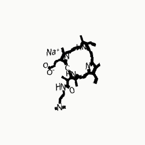 C=CC1=C(C)c2cc3[nH]c(cc4nc(cc5[nH]c(cc1n2)c(C)c5C(C)C(=O)NCCN(C)C)C(CCC(=O)[O-])=C4C)c(C)c3C=C.[Na+]